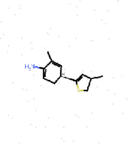 CC1=C[C@@H](C2=CC(C)CS2)CC=C1N